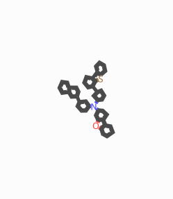 c1cc(-c2ccc3ccccc3c2)cc(N(c2cccc(-c3cccc4c3sc3ccccc34)c2)c2ccc3c(c2)oc2ccccc23)c1